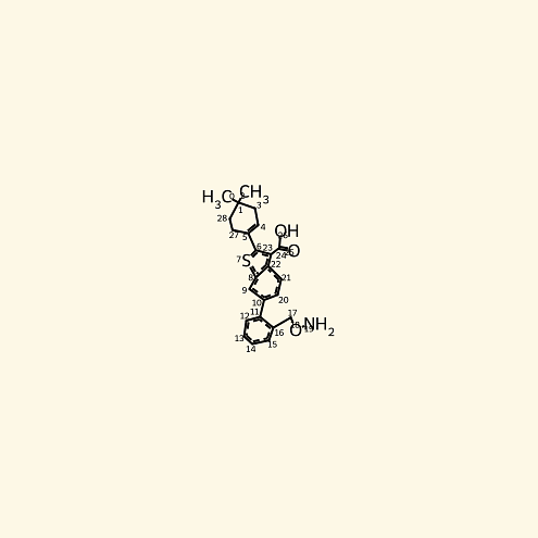 CC1(C)CC=C(c2sc3cc(-c4ccccc4CON)ccc3c2C(=O)O)CC1